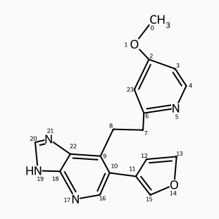 COc1ccnc(CCc2c(-c3ccoc3)cnc3[nH]cnc23)c1